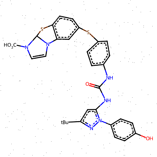 CC(C)(C)c1cc(NC(=O)Nc2ccc(Sc3ccc4c(c3)N3C=CN(C(=O)O)C3S4)cc2)n(-c2ccc(O)cc2)n1